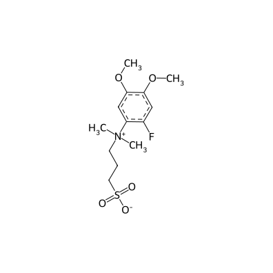 COc1cc(F)c([N+](C)(C)CCCS(=O)(=O)[O-])cc1OC